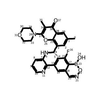 Cc1cc([C@H](C)Nc2cccnc2-c2cc(F)c3c(c2)C=NOB3O)c2oc(N3CCOCC3)c(C)c(=O)c2c1